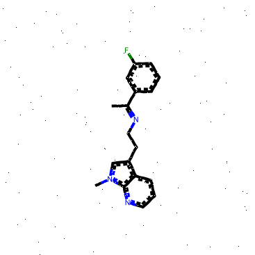 C/C(=N\CCc1cn(C)c2ncccc12)c1cccc(F)c1